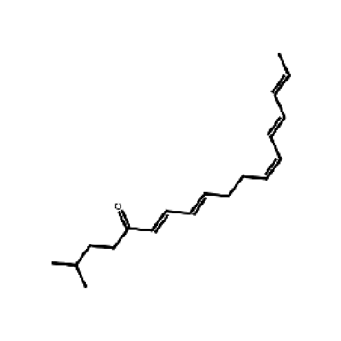 C/C=C/C=C/C=C\CC/C=C/C=C/C(=O)CCC(C)C